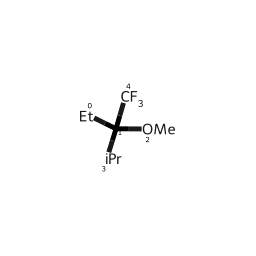 CCC(OC)(C(C)C)C(F)(F)F